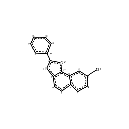 Clc1ccc2ccc3nc(-c4ccccc4)oc3c2c1